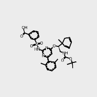 Cc1cccc(C)c1-c1cc(O[C@H](CNC(=O)OC(C)(C)C)C2(C)C=CC=CC2)nc(NS(=O)(=O)c2cccc(C(=O)O)c2)n1